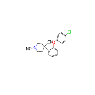 N#CN1CCC(C#N)(c2ccccc2Oc2ccc(Cl)cc2)CC1